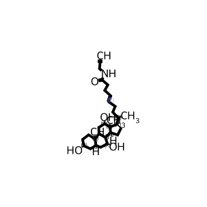 C#CCNC(=O)CC/C=C/CC[C@@H](C)[C@H]1CC[C@H]2C3C(C[C@H](O)[C@]12C)[C@@]1(C)CC[C@@H](O)C[C@H]1C[C@H]3O